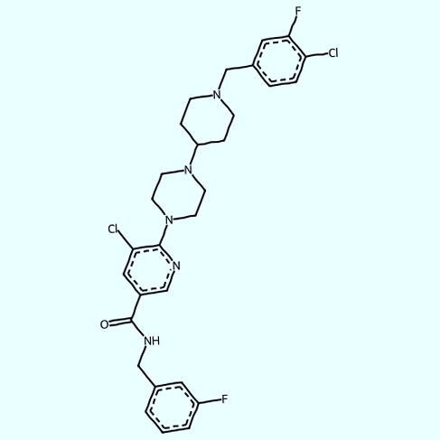 O=C(NCc1cccc(F)c1)c1cnc(N2CCN(C3CCN(Cc4ccc(Cl)c(F)c4)CC3)CC2)c(Cl)c1